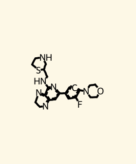 Fc1cc(-c2cc3c(c(NCC4CNCCS4)n2)=NCCN=3)ccc1N1CCOCC1